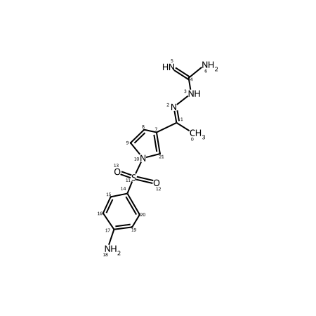 C/C(=N\NC(=N)N)c1ccn(S(=O)(=O)c2ccc(N)cc2)c1